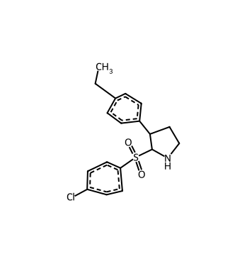 CCc1ccc(C2CCNC2S(=O)(=O)c2ccc(Cl)cc2)cc1